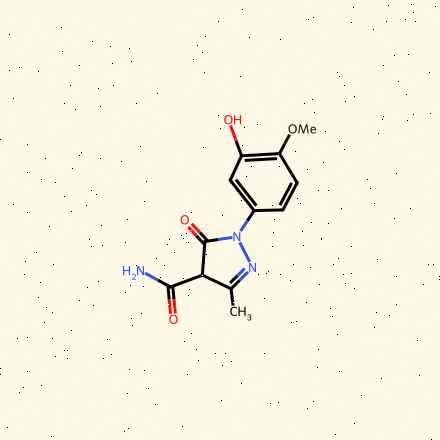 COc1ccc(N2N=C(C)C(C(N)=O)C2=O)cc1O